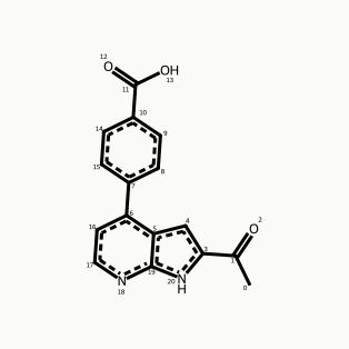 CC(=O)c1cc2c(-c3ccc(C(=O)O)cc3)ccnc2[nH]1